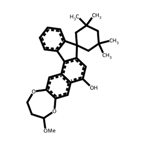 COC1CCOc2cc3c4c(cc(O)c3cc2O1)C1(CC(C)(C)CC(C)(C)C1)c1ccccc1-4